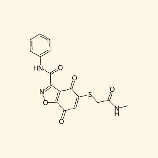 CNC(=O)CSC1=CC(=O)c2onc(C(=O)Nc3ccccc3)c2C1=O